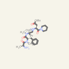 CC(C)COC(=O)C[C@H](NC[C@@](C=O)(C(C)C)N(C)C(=O)[C@H](Cc1ccccc1)N(C)C(=O)[C@H](C)N)C(=O)N1CCCCC1